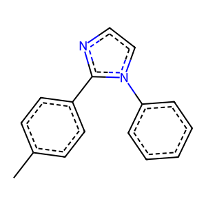 Cc1ccc(-c2nccn2-c2ccccc2)cc1